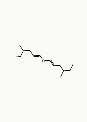 CCC(C)CC=COC=CCC(C)CC